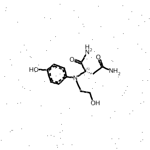 NC(=O)C[C@@H](C(N)=O)N(CCO)c1ccc(O)cc1